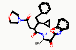 CCC[C@H](NC(=O)C(CC(=O)N1CCOCC1)C(Cc1ccccc1)C1CC1)C(=O)c1nc2ccccc2o1